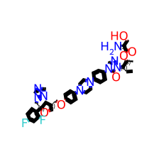 CC[C@@H]([C@H](C)OC(=O)[C@@H](N)CO)n1ncn(-c2ccc(N3CCN(c4ccc(OC[C@@H]5CO[C@@](Cn6cncn6)(c6ccc(F)cc6F)C5)cc4)CC3)cc2)c1=O